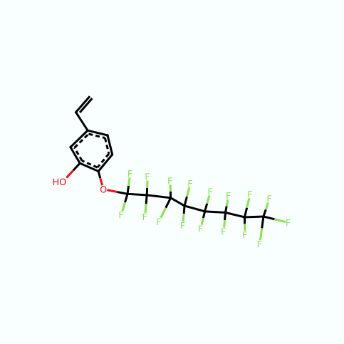 C=Cc1ccc(OC(F)(F)C(F)(F)C(F)(F)C(F)(F)C(F)(F)C(F)(F)C(F)(F)C(F)(F)F)c(O)c1